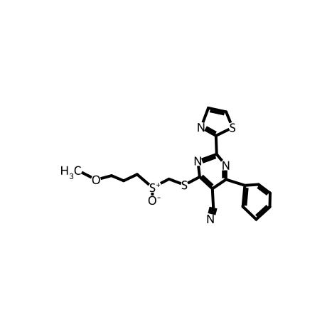 COCCC[S+]([O-])CSc1nc(-c2nccs2)nc(-c2ccccc2)c1C#N